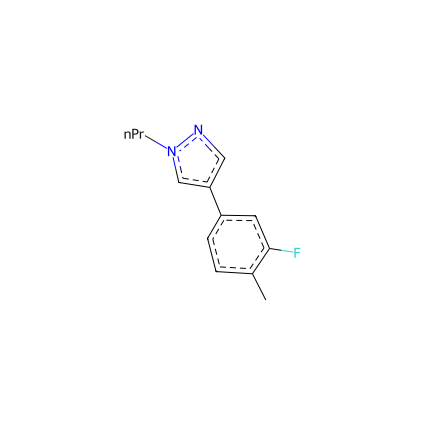 CCCn1cc(-c2ccc(C)c(F)c2)cn1